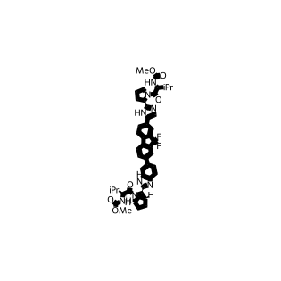 COC(=O)NC(C(=O)N1CCC[C@H]1c1ncc(-c2ccc3c(c2)C(F)(F)c2cc(-c4ccc5nc([C@@H]6[C@H]7CC[C@H](C7)N6C(=O)[C@@H](NC(=O)OC)C(C)C)[nH]c5c4)ccc2-3)[nH]1)C(C)C